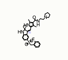 Cc1[nH]c(/C=C2\C(=O)Nc3ccc(S(=O)(=O)Cc4ccccc4F)cc32)c(C)c1C(=O)NCCN1CCCC1